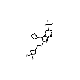 FC1(F)CC(CNc2nc3ccc(C(F)(F)F)cc3n2C2CCC2)C1